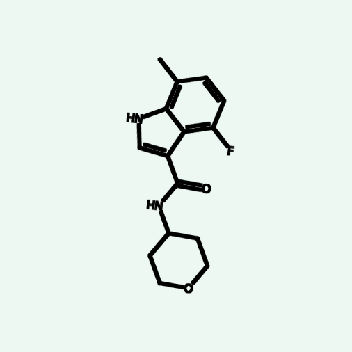 Cc1ccc(F)c2c(C(=O)NC3CCOCC3)c[nH]c12